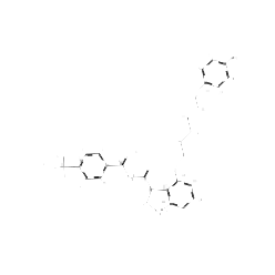 CC(C)(C)c1ccc(C(=O)NC(=S)C2CNc3cccc(OCCCCCOc4ccc(Cl)cc4)c32)cc1